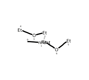 CCCCCC.CCOCC.CCOCC